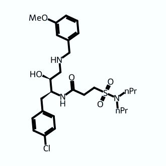 CCCN(CCC)S(=O)(=O)CCC(=O)N[C@@H](Cc1ccc(Cl)cc1)[C@@H](O)CNCc1cccc(OC)c1